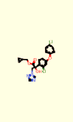 O=C(OCC1CC1)C(O)(Cn1cncn1)c1ccc(Oc2ccc(Cl)cc2)cc1Cl